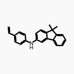 C=Cc1ccc(Nc2ccc3c(c2)-c2ccccc2C3(C)C)cc1